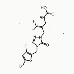 O=C(O)NCC(Cn1ncn(Cc2sc(Br)cc2F)c1=O)=C(F)F